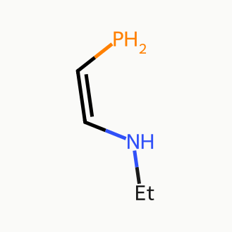 CCN/C=C\P